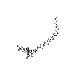 CCCCCCCC/C=C\CCCCCCCCCCCCOC[C@H](COC)OP(=O)([O-])OCC[N+](C)(C)C